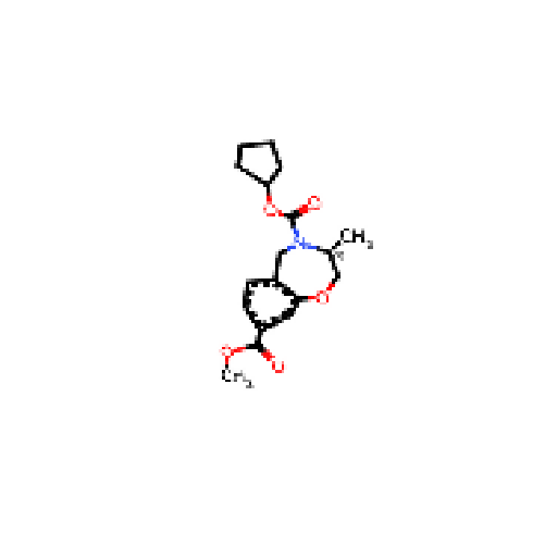 COC(=O)c1ccc2c(c1)OC[C@H](C)N(C(=O)OC1CCCC1)C2